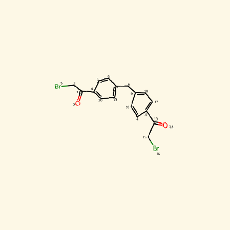 O=C(CBr)c1ccc(Cc2ccc(C(=O)CBr)cc2)cc1